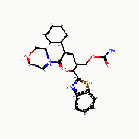 NC(=O)OCC(CC(C(=O)N1CCOCC1)C1CCCCC1)C(=O)c1nc2ccccc2s1